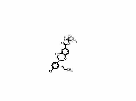 CCCc1cc(Cl)ccc1[C@H]1CNc2cc(C(=O)OC(C)(C)C)ccc2OC1